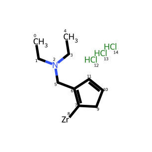 CCN(CC)CC1=[C]([Zr])CC=C1.Cl.Cl.Cl